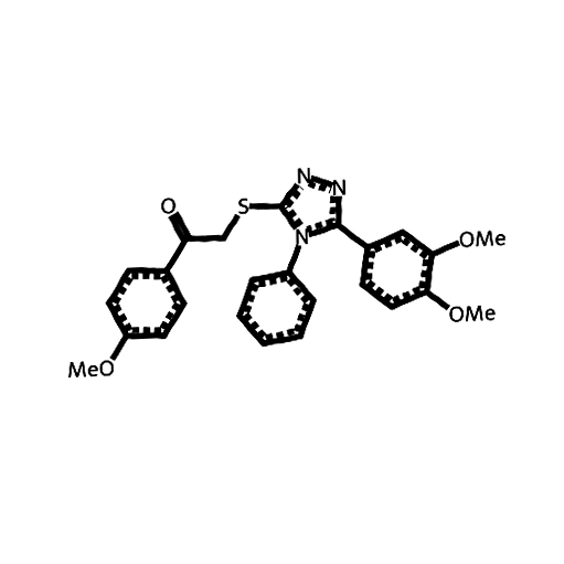 COc1ccc(C(=O)CSc2nnc(-c3ccc(OC)c(OC)c3)n2-c2ccccc2)cc1